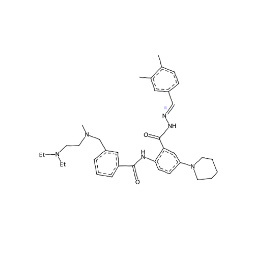 CCN(CC)CCN(C)Cc1cccc(C(=O)Nc2ccc(N3CCCCC3)cc2C(=O)N/N=C/c2ccc(C)c(C)c2)c1